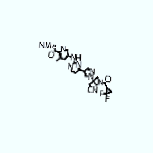 CNC(=O)c1ncc(Nc2nccc(-c3cnn(C4(CC#N)CN(C(=O)C5CC5(F)F)C4)c3)n2)cc1C